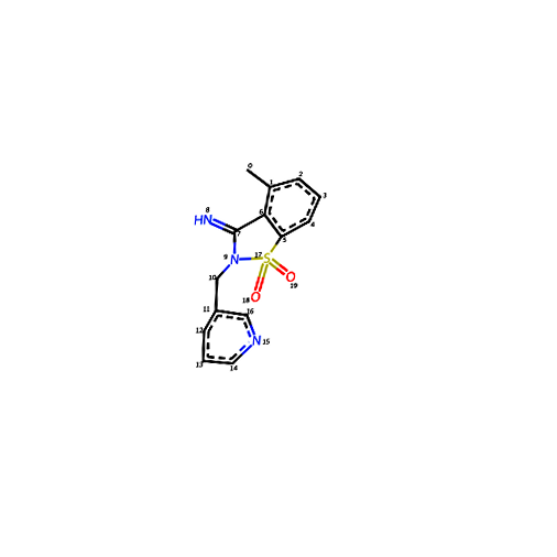 Cc1cccc2c1C(=N)N(Cc1cccnc1)S2(=O)=O